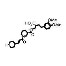 COc1ccc(CC[C@H](CNC(=O)[C@@H]2CCCN(C(=O)/C=C/C3CCNCC3)C2)C(=O)O)cc1OC